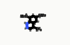 COc1cc(OC)c2nncc(C)c2c1